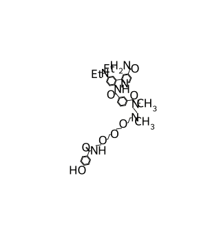 CCN(CC)c1ccc(NC(=O)c2cccc(C(=O)N(C)CCN(C)CCOCCOCCOCCNC(=O)c3ccc(O)cc3)c2)c(-c2cc(C(N)=O)ccn2)c1